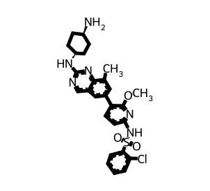 COc1nc(NS(=O)(=O)c2ccccc2Cl)ccc1-c1cc(C)c2nc(N[C@H]3CC[C@H](N)CC3)ncc2c1